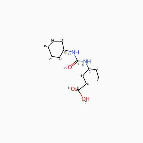 CCC(CCC(=O)O)NC(=O)NC1CCCCC1